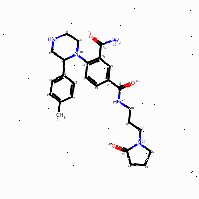 Cc1ccc(C2CNCCN2c2ccc(C(=O)NCCCN3CCCC3=O)cc2C(N)=O)cc1